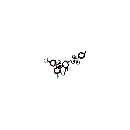 Cc1ccc(S(=O)(=O)OC[C@@H]2CC[C@@]3(S(=O)(=O)c4ccc(Cl)cc4)c4c(F)ccc(F)c4OC[C@H]3C2)cc1